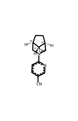 N#Cc1ccc(N2C[C@H]3CC[C@@H](C2)[C@@H]3O)nc1